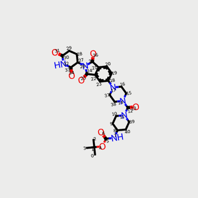 CC(C)(C)OC(=O)NC1CCN(C(=O)N2CCN(c3ccc4c(c3)C(=O)N(C3CCC(=O)NC3=O)C4=O)CC2)CC1